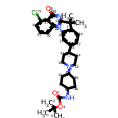 CC(C)(C)OC(=O)NC1CCC(N2CCC(c3ccc4c(c3)-n3c(nc(=O)c5c(Cl)cccc53)C4(C)C)CC2)CC1